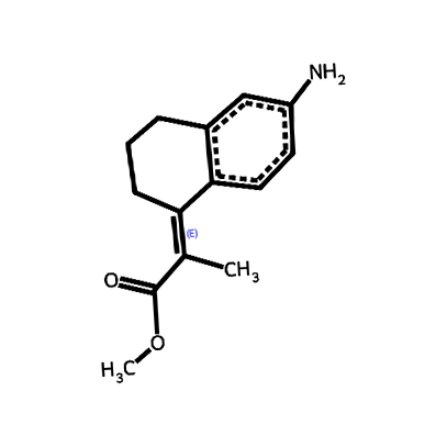 COC(=O)/C(C)=C1\CCCc2cc(N)ccc21